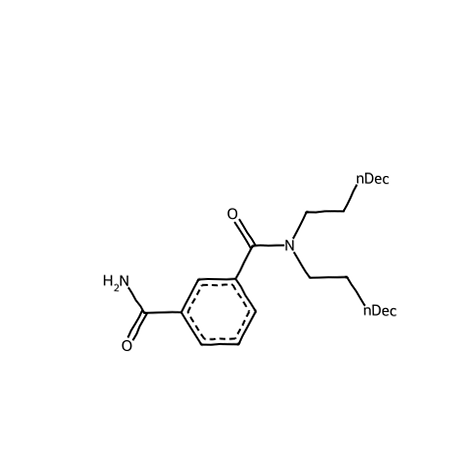 CCCCCCCCCCCCN(CCCCCCCCCCCC)C(=O)c1cccc(C(N)=O)c1